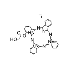 O=C(CO)Oc1cccc2c3nc4nc(nc5[nH]c(nc6nc(nc([nH]3)c12)-c1ccccc1-6)c1ccccc51)-c1ccccc1-4.[Ti]